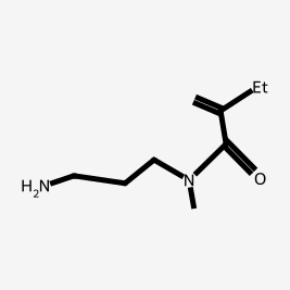 C=C(CC)C(=O)N(C)CCCN